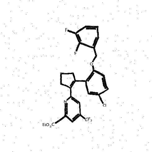 CCOC(=O)c1cc(C(F)(F)F)cc(C2=C(c3cc(Cl)ccc3OCc3cccc(F)c3F)CCC2)n1